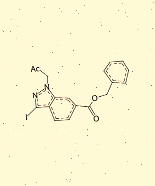 CC(=O)Cn1nc(I)c2ccc(C(=O)OCc3ccccc3)cc21